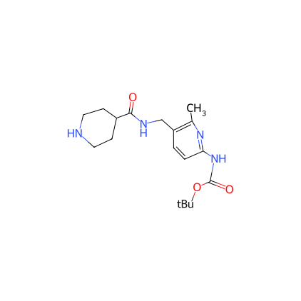 Cc1nc(NC(=O)OC(C)(C)C)ccc1CNC(=O)C1CCNCC1